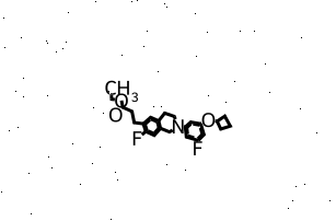 CCOC(=O)CCc1cc2c(cc1F)CN(c1cc(F)cc(OC3CCC3)c1)CC2